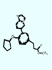 COC(=O)CCc1ccc(OC2CCCC2)c(-c2ccc3nccn3c2)c1